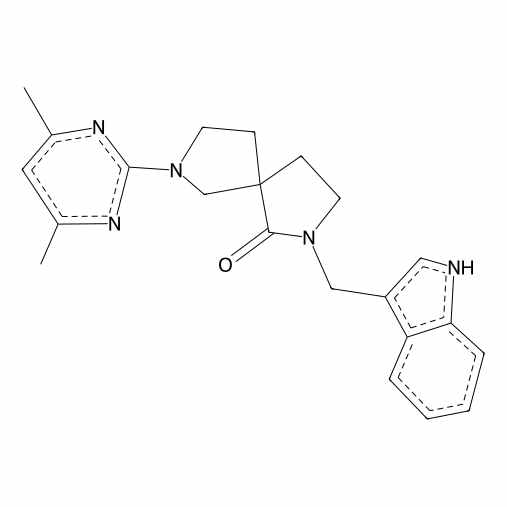 Cc1cc(C)nc(N2CCC3(CCN(Cc4c[nH]c5ccccc45)C3=O)C2)n1